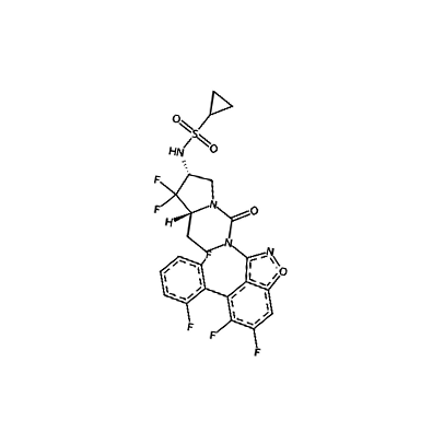 O=C1N(c2noc3cc(F)c(F)c(-c4c(F)cccc4F)c23)CC[C@H]2N1C[C@@H](NS(=O)(=O)C1CC1)C2(F)F